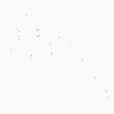 CCC/C=C/C(=O)N1CCN(C2=CC(C)[NH+]([O-])c3ccccc32)CC1